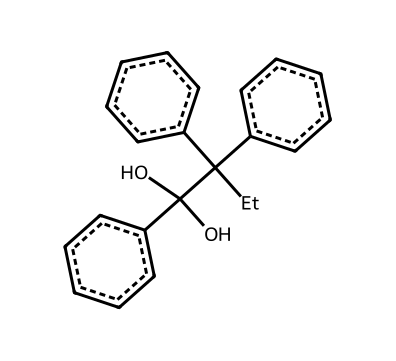 CCC(c1ccccc1)(c1ccccc1)C(O)(O)c1ccccc1